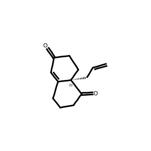 C=CC[C@@]12CCC(=O)C=C1CCCC2=O